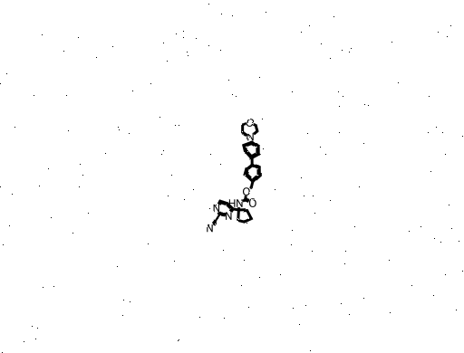 N#Cc1nccc(C2(NC(=O)OCc3ccc(-c4ccc(N5CCOCC5)cc4)cc3)CCCC2)n1